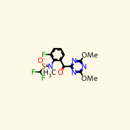 COc1nc(OC)nc(C(=O)c2cccc(F)c2N(C)[S+]([O-])C(F)F)n1